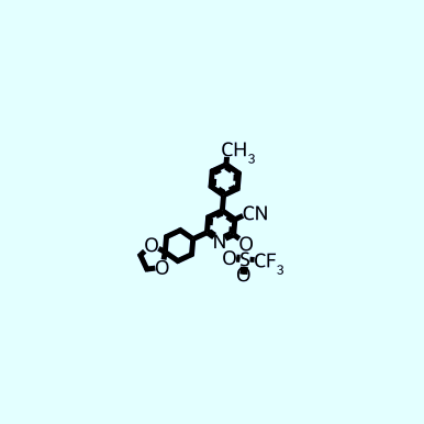 Cc1ccc(-c2cc(C3CCC4(CC3)OCCO4)nc(OS(=O)(=O)C(F)(F)F)c2C#N)cc1